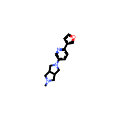 CN1CC2CN(c3ccc(-c4ccoc4)nc3)CC2C1